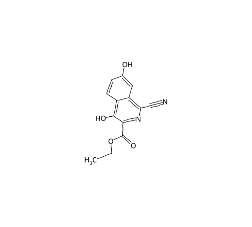 CCOC(=O)c1nc(C#N)c2cc(O)ccc2c1O